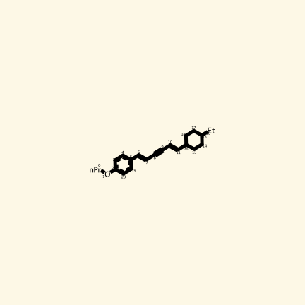 CCCOc1ccc(C=CC#CC=CC2CCC(CC)CC2)cc1